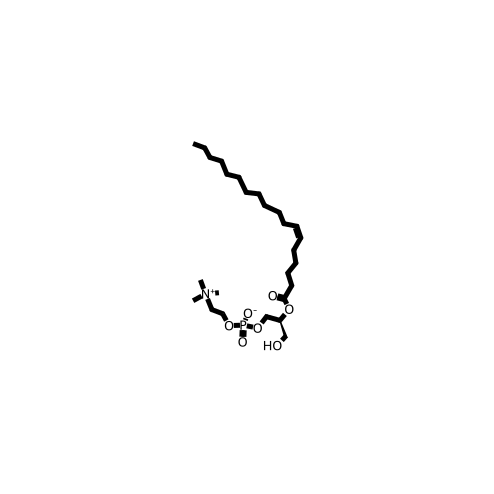 CCCCCCCCCCC/C=C\CCCCC(=O)O[C@@H](CO)COP(=O)([O-])OCC[N+](C)(C)C